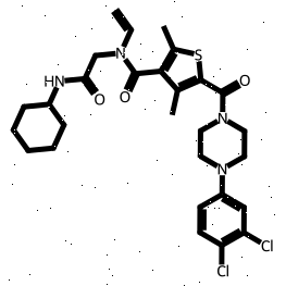 C=CN(CC(=O)NC1CCCCC1)C(=O)c1c(C)sc(C(=O)N2CCN(c3ccc(Cl)c(Cl)c3)CC2)c1C